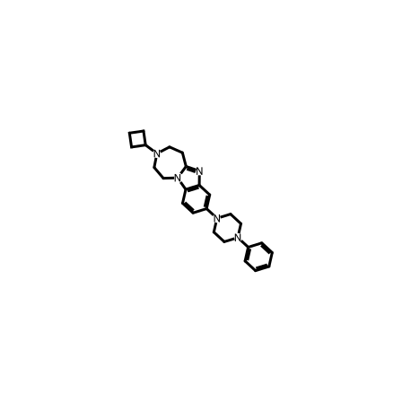 c1ccc(N2CCN(c3ccc4c(c3)nc3n4CCN(C4CCC4)CC3)CC2)cc1